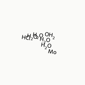 Cl.O.O.O.O.O.[Mo]